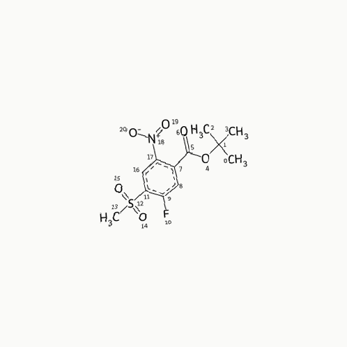 CC(C)(C)OC(=O)c1cc(F)c(S(C)(=O)=O)cc1[N+](=O)[O-]